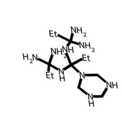 CCC(N)(N)NC(CC)(NC(N)(N)CC)N1CNCNC1